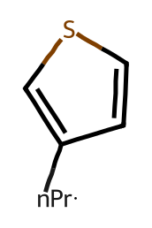 CC[CH]c1ccsc1